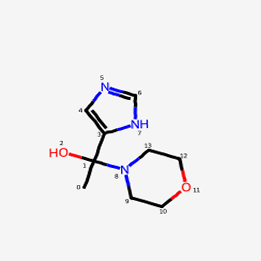 CC(O)(c1cnc[nH]1)N1CCOCC1